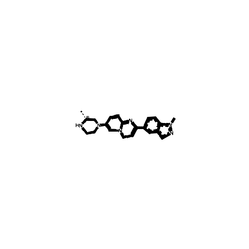 C[C@@H]1CN(C2=CN3CC=C(c4ccc5c(cnn5C)c4)N=C3C=C2)CCN1